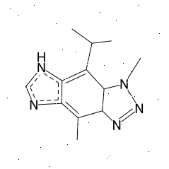 CC1=c2nc[nH]c2=C(C(C)C)C2C1N=NN2C